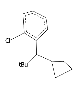 CC(C)(C)C(c1ccccc1Cl)C1CCC1